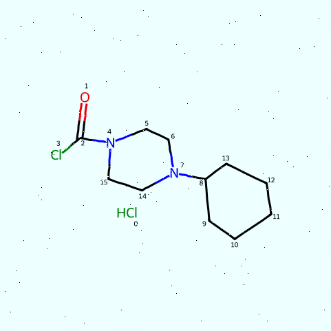 Cl.O=C(Cl)N1CCN(C2CCCCC2)CC1